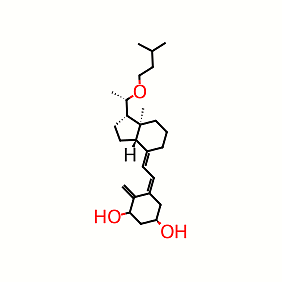 C=C1/C(=C\C=C2/CCC[C@]3(C)[C@@H]([C@H](C)OCCC(C)C)CC[C@@H]23)C[C@@H](O)CC1O